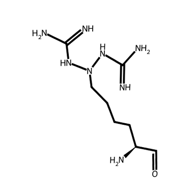 N=C(N)NN(CCCC[C@H](N)C=O)NC(=N)N